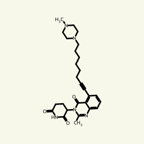 Cc1nc2cccc(C#CCCCCCCN3CCN(C)CC3)c2c(=O)n1C1CCC(=O)NC1=O